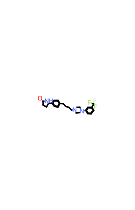 O=C1CCC(c2ccc(CCCCN3CCN(c4cccc(C(F)(F)F)c4)CC3)cc2)N1